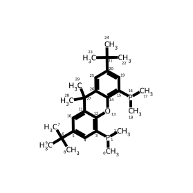 CP(C)c1cc(C(C)(C)C)cc2c1Oc1c(P(C)C)cc(C(C)(C)C)cc1C2(C)C